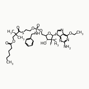 CCCCCC(=O)OCC(C)(C)C(=O)SCCOP(=O)(NCc1ccccc1)OCC1O[C@@H](n2cnc3c(OCC)nc(N)nc32)[C@](C)(F)[C@@H]1O